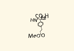 CC[C@H](C(=N)C(=O)O)c1ccc(CCC(=O)OC)cc1